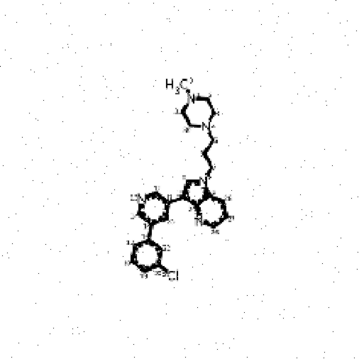 CN1CCN(CCCn2cc(-c3cncc(-c4cccc(Cl)c4)c3)c3ncccc32)CC1